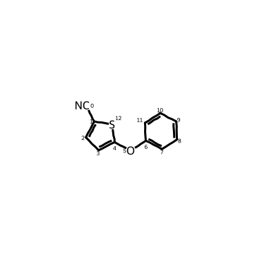 N#Cc1ccc(Oc2ccccc2)s1